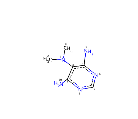 CN(C)c1c(N)ncnc1N